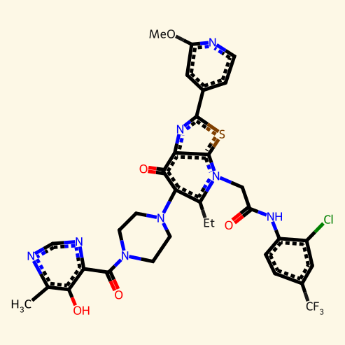 CCc1c(N2CCN(C(=O)c3ncnc(C)c3O)CC2)c(=O)c2nc(-c3ccnc(OC)c3)sc2n1CC(=O)Nc1ccc(C(F)(F)F)cc1Cl